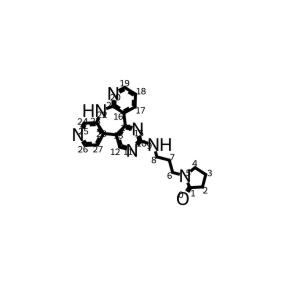 O=C1CCCN1CCCNc1ncc2c(n1)-c1cccnc1Nc1cnccc1-2